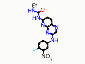 CCNC(=O)Nc1ccc2ncc(Nc3ccc(F)c([N+](=O)[O-])c3)nc2n1